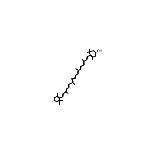 CC1=C(/C=C/C(C)=C/C=C/C(C)=C/C=C/C=C(C)/C=C/C=C(C)/C=C/C2=C(C)C[C@@H](O)CC2(C)C)C(C)(C)C[C@H](C)C1